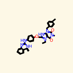 C=C1NC(Nc2ccc(OCC3Nc4c(c(=O)n(C)c(=O)n4Cc4ccc(C)cc4)N3CC)cc2)=Nc2ccccc21